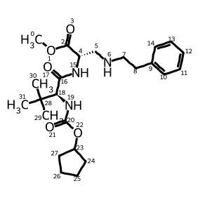 COC(=O)[C@H](CNCCc1ccccc1)NC(=O)[C@@H](NC(=O)OC1CCCC1)C(C)(C)C